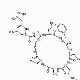 CCCCCCC[C@@H](O)CC(=O)N[C@H](CCN)C(=O)N[C@H]1CCNC(=O)[C@H](CC(C)C)NC(=O)[C@H](C)NC(=O)[C@H](CCN)NC(=O)[C@H](CC(C)C)NC(=O)[C@@H](Cc2ccccc2)NC(=O)[C@H](CCN)NC1=O